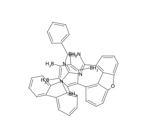 Bc1c(B)c(B)c(-c2cccc3oc4cccc(-c5nc(-c6ccccc6)nc(-n6c7ccccc7c7ccccc76)n5)c4c23)c(B)c1B